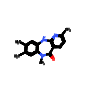 Cc1ccc2c(n1)Nc1cc(C)c(C)cc1N(C)C2=O